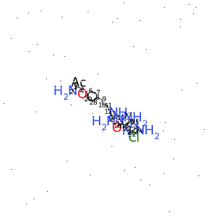 CC(=O)C(N)COc1ccc(CCCCN/C(N)=N/C(=O)c2nc(Cl)c(N)nc2N)cc1